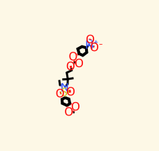 CCN(CC(C)(C)CCOC(=O)Oc1ccc([N+](=O)[O-])cc1)S(=O)(=O)c1ccc2c(c1)OCO2